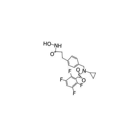 O=C(CCc1ccc(CN(C2CC2)S(=O)(=O)c2c(F)c(F)cc(F)c2F)cc1)NO